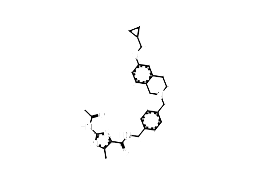 CC(=O)Nc1nc(C)c(C(=O)NCc2ccc(CN3CCc4cc(OCC5CC5)ccc4C3)cc2)s1